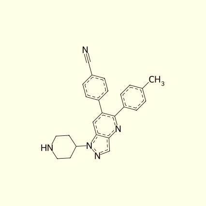 Cc1ccc(-c2nc3cnn(C4CCNCC4)c3cc2-c2ccc(C#N)cc2)cc1